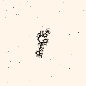 COC(=O)Nc1ccc2c(c1)NC(=O)C(C)CCC[C@H](NC(=O)c1cnn(-c3cccc(Cl)c3F)c1)c1ccnc-2c1